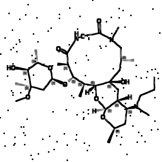 CCCN(C)[C@H]1C[C@@H](C)O[C@H]2O[C@@H]3[C@@H](C)[C@H](O[C@H]4C[C@@](C)(OC)[C@@H](O)[C@H](C)O4)[C@@H](C)C(=O)NCC(=O)N(C)C[C@H](C)C[C@]3(O)C[C@@H]21